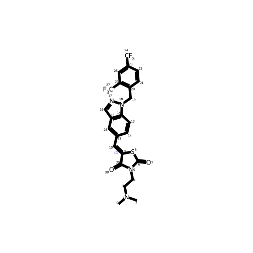 CN(C)CCN1C(=O)S/C(=C\c2ccc3c(cnn3Cc3ccc(C(F)(F)F)cc3C(F)(F)F)c2)C1=O